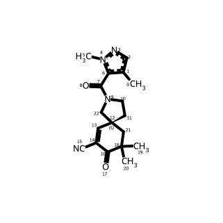 Cc1cnn(C)c1C(=O)N1CC[C@@]2(C=C(C#N)C(=O)C(C)(C)C2)C1